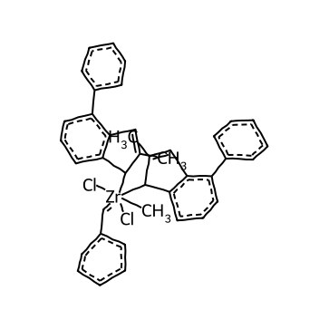 CC1=Cc2c(-c3ccccc3)cccc2[CH]1[Zr]([CH3])([Cl])([Cl])(=[CH]c1ccccc1)[CH]1C(C)=Cc2c(-c3ccccc3)cccc21